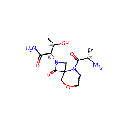 CC[C@H](N)C(=O)N1CCOCC12CN([C@H](C(N)=O)[C@@H](C)O)C2=O